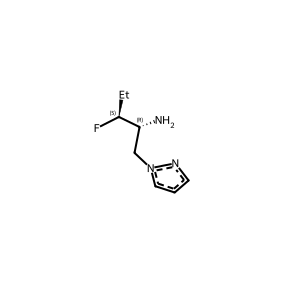 CC[C@H](F)[C@H](N)Cn1cccn1